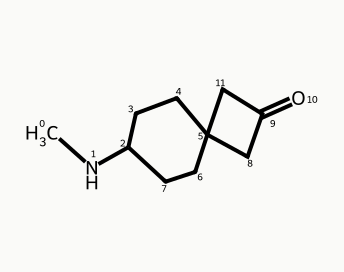 CNC1CCC2(CC1)CC(=O)C2